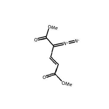 COC(=O)C=CC(=[N+]=[N-])C(=O)OC